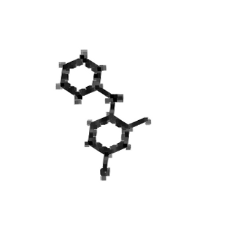 Cc1cc(Cl)ccc1Nc1cnccn1